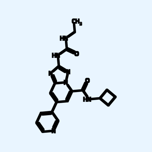 CCNC(=O)Nc1nc2cc(-c3cccnc3)cc(C(=O)NC3CCC3)n2n1